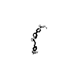 NC(=O)N1CCC(C2CCN(C(=O)[CH]Cc3ccc4[nH]nnc4c3)CC2)CC1